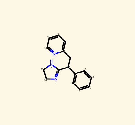 c1ccc(C(Cc2ccccn2)C2=NCCN2)cc1